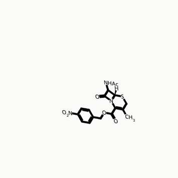 CC(=O)NC1C(=O)N2C(C(=O)OCc3ccc([N+](=O)[O-])cc3)=C(C)CS[C@@H]12